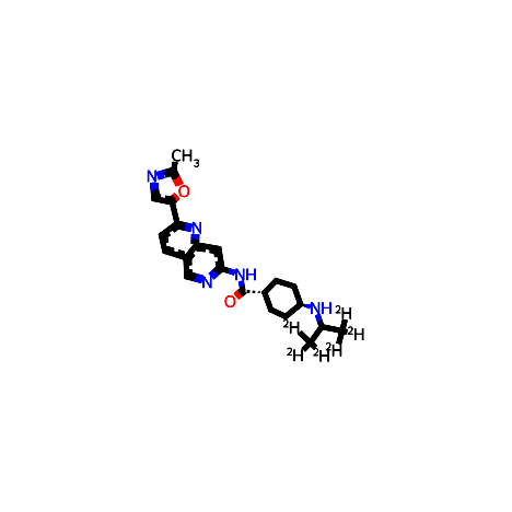 [2H]C([2H])([2H])C(N[C@H]1CC[C@H](C(=O)Nc2cc3nc(-c4cnc(C)o4)ccc3cn2)CC1)C([2H])([2H])[2H]